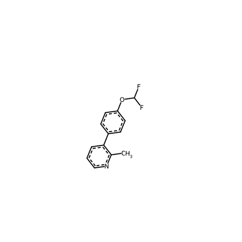 Cc1ncccc1-c1ccc(OC(F)F)cc1